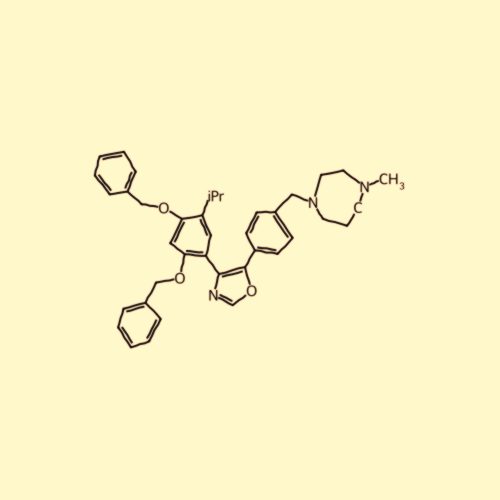 CC(C)c1cc(-c2ncoc2-c2ccc(CN3CCCN(C)CC3)cc2)c(OCc2ccccc2)cc1OCc1ccccc1